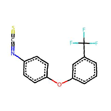 FC(F)(F)c1cccc(Oc2ccc(N=C=S)cc2)c1